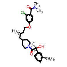 COc1cccc([C@@](O)(C(=O)N2CCC(C[C@@H](C)CCOc3ccc(C(=O)N(C)C)c(Cl)c3)CC2)C(F)(F)F)c1